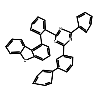 c1ccc(-c2cccc(-c3nc(-c4ccccc4)nc(-c4ccccc4-c4cccc5oc6ccccc6c45)n3)c2)cc1